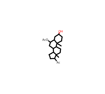 CC(=O)OC1CC2C3CCC(C(C)=O)C3(C)CCC2C2(C)CCC(O)CC12